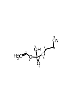 C=COP(=O)(O)OCCC#N